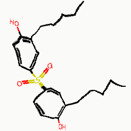 CCCCCc1cc(S(=O)(=O)c2ccc(O)c(CCCCC)c2)ccc1O